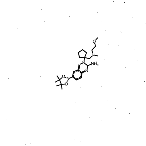 COCCN(C)CC1(N2C=c3cc(B4OC(C)(C)C(C)(C)O4)ccc3=NC2N)CCCC1